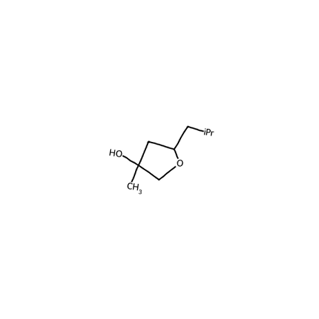 CC(C)CC1CC(C)(O)CO1